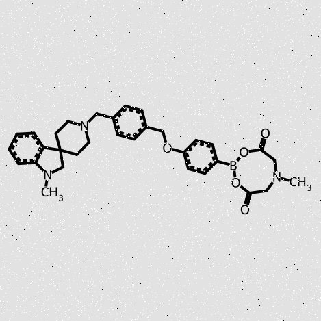 CN1CC(=O)OB(c2ccc(OCc3ccc(CN4CCC5(CC4)CN(C)c4ccccc45)cc3)cc2)OC(=O)C1